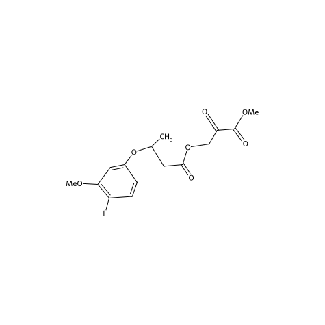 COC(=O)C(=O)COC(=O)CC(C)Oc1ccc(F)c(OC)c1